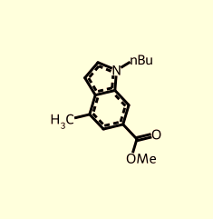 CCCCn1ccc2c(C)cc(C(=O)OC)cc21